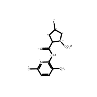 Cc1ccc(Cl)nc1NC(=O)C1CC(F)CN1C(=O)O